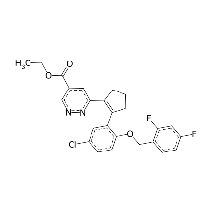 CCOC(=O)c1cnnc(C2=C(c3cc(Cl)ccc3OCc3ccc(F)cc3F)CCC2)c1